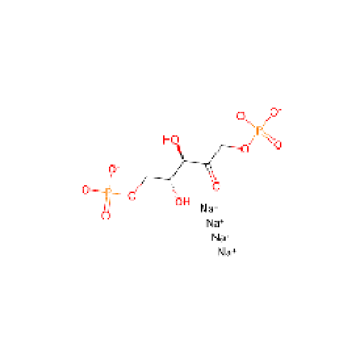 O=C(COP(=O)([O-])[O-])[C@H](O)[C@H](O)COP(=O)([O-])[O-].[Na+].[Na+].[Na+].[Na+]